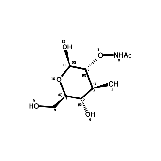 CC(=O)NO[C@@H]1[C@@H](O)[C@H](O)[C@@H](CO)O[C@H]1O